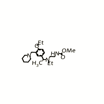 CCOc1ccc(C(C)N(CC)CCNC(=O)OC)cc1CN1CCCCC1